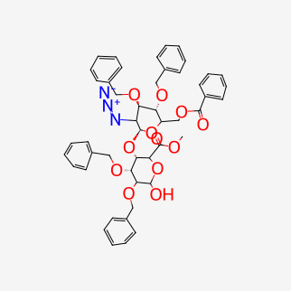 COC(=O)C1OC(O)C(OCc2ccccc2)[C@H](OCc2ccccc2)[C@@H]1O[C@@H]1OC(COC(=O)c2ccccc2)[C@@H](OCc2ccccc2)[C@H](OCc2ccccc2)C1N=[N+]=[N-]